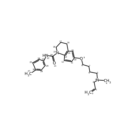 C=CCN(C)CCCCOc1ccc2c(c1)CCCN2C(=O)Nc1ccc(C)cc1